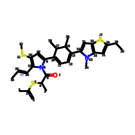 C=C(C)SC(C)C(=O)n1c(C2=CC=C(c3cc4sc(CC)cc4n3C)C(C)C2C)cc(SC)c1/C=C/C